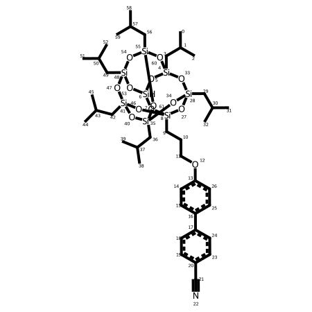 CC(C)C[Si]12O[SiH]3O[Si]4(CCCOc5ccc(-c6ccc(C#N)cc6)cc5)O[Si](CC(C)C)(O1)O[Si]1(CC(C)C)O[Si](CC(C)C)(O4)O[Si](CC(C)C)(O3)O[Si](CC(C)C)(O2)O1